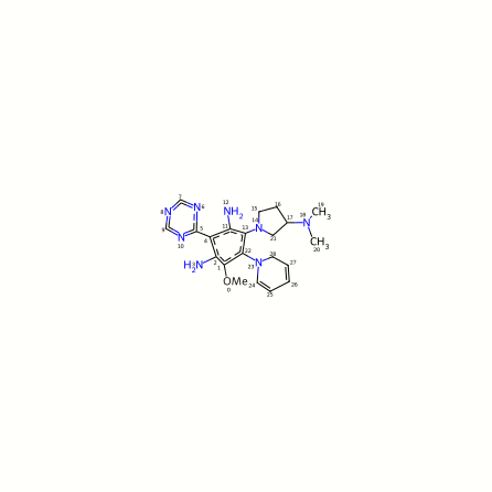 COc1c(N)c(-c2ncncn2)c(N)c(N2CCC(N(C)C)C2)c1N1C=CC=CC1